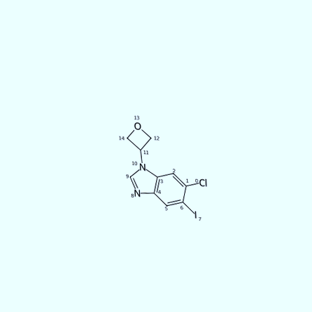 Clc1cc2c(cc1I)ncn2C1COC1